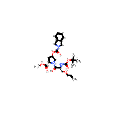 C=CCOC[C@H](NC(=O)OC(C)(C)C)C(=O)N1C[C@H](OC(=O)N2Cc3ccccc3C2)C[C@H]1C(=O)OC